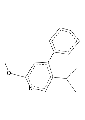 COc1cc(-c2ccccc2)c(C(C)C)cn1